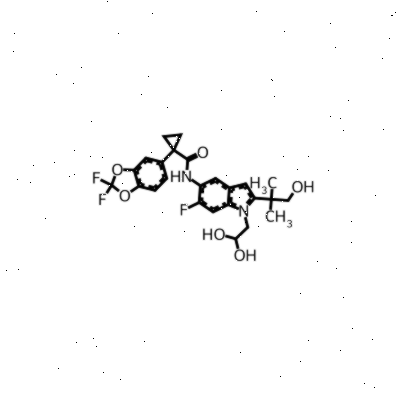 CC(C)(CO)c1cc2cc(NC(=O)C3(c4ccc5c(c4)OC(F)(F)O5)CC3)c(F)cc2n1CC(O)O